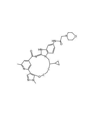 Cc1cc2cc(n1)-c1cnn(C)c1OCCCC(C1CC1)CN1/C(=N/C2=O)Nc2cc(NC(=O)CN3CCOCC3)ccc21